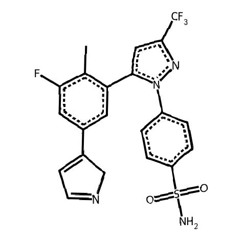 Cc1c(F)cc(C2=CC=NC2)cc1-c1cc(C(F)(F)F)nn1-c1ccc(S(N)(=O)=O)cc1